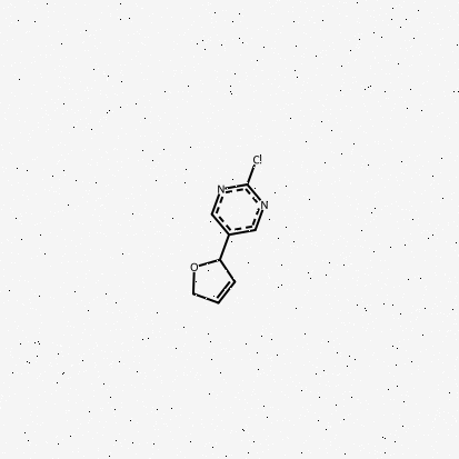 Clc1ncc(C2C=CCO2)cn1